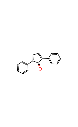 O=C1C(c2ccccc2)=CC=C1c1ccccc1